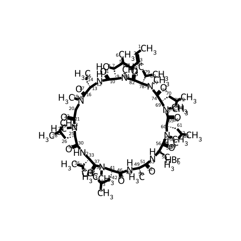 Br.C/C=C/CC(C)C(O)[C@H]1C(=O)N[C@@H](CC)C(=O)N(C)CC(=O)N(C)[C@@H](CC(C)C)C(=O)N[C@@H](C(C)C)C(=O)N(C)[C@@H](CC(C)C)C(=O)N[C@@H](C)C(=O)N[C@H](C)C(=O)N(C)[C@@H](CC(C)C)C(=O)N(C)[C@@H](CC(C)C)C(=O)N(C)[C@@H](C(C)C)C(=O)N1C